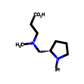 CC(C)N1CCC[C@H]1CN(C)CCC(=O)O